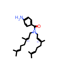 CC(C)=CCC/C(C)=C/CN(C/C=C(\C)CCC=C(C)C)C(=O)c1ccc(N)cc1